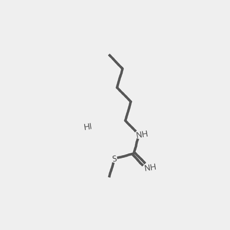 CCCCCNC(=N)SC.I